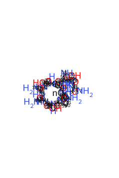 CCCCCCCCC(=O)N[C@@H](CCN)C(=O)N[C@H](C(=O)N[C@@H](CCN)C(=O)N[C@H]1CCNC(=O)[C@H]([C@@H](C)O)NC(=O)[C@H](CCN)NC(=O)[C@H](CCN)NC(=O)[C@H]([C@@H](C)O)NC(=O)C(Cc2ccccc2)NC(=O)[C@H](CCN)NC1=O)[C@@H](C)O